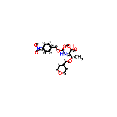 C[C@@H](OCC1CCOCC1)[C@H](NC(=O)OCc1ccc([N+](=O)[O-])cc1)C(=O)O